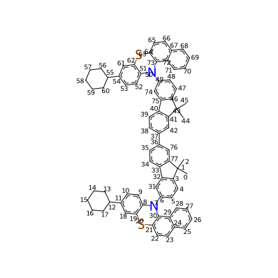 CC1(C)c2ccc(N3c4ccc(C5CCCCC5)cc4Sc4ccc5ccccc5c43)cc2-c2ccc(-c3ccc4c(c3)C(C)(C)c3ccc(N5c6ccc(C7CCCCC7)cc6Sc6ccc7ccccc7c65)cc3-4)cc21